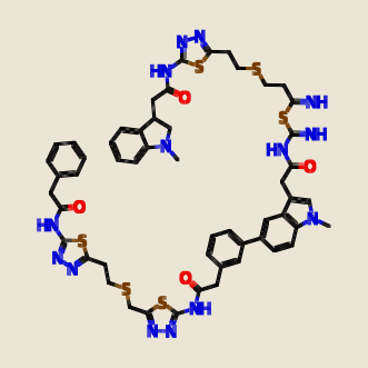 CN1CC(CC(=O)Nc2nnc(CCSCCC(=N)SC(=N)NC(=O)Cc3cn(C)c4ccc(-c5cccc(CC(=O)Nc6nnc(CSCCc7nnc(NC(=O)Cc8ccccc8)s7)s6)c5)cc34)s2)c2ccccc21